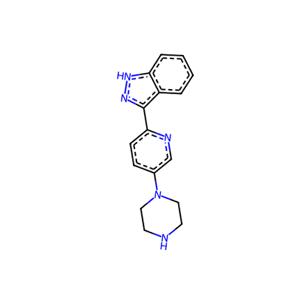 c1ccc2c(-c3ccc(N4CCNCC4)cn3)n[nH]c2c1